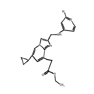 CCOC(=O)Cc1cc(C2CC2)cn2cc(CNc3ccnc(Br)c3)nc12